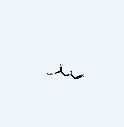 COC(=O)CNC=S